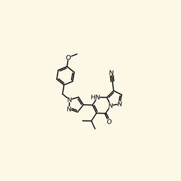 COc1ccc(Cn2cc(-c3[nH]c4c(C#N)cnn4c(=O)c3C(C)C)cn2)cc1